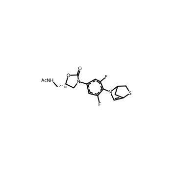 CC(=O)NC[C@H]1CN(c2cc(F)c(N3C=C4CC3CS4)c(F)c2)C(=O)O1